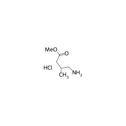 COC(=O)CC(C)CN.Cl